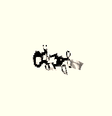 O=C(O)C1C(CN2C(=O)c3ccccc3C2=O)C1(Cl)Cl